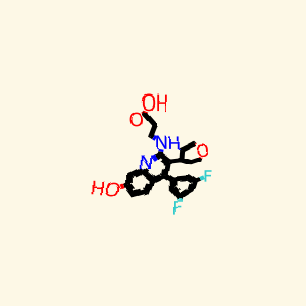 O=C(O)CCNc1nc2cc(O)ccc2c(-c2cc(F)cc(F)c2)c1C1CCOCC1